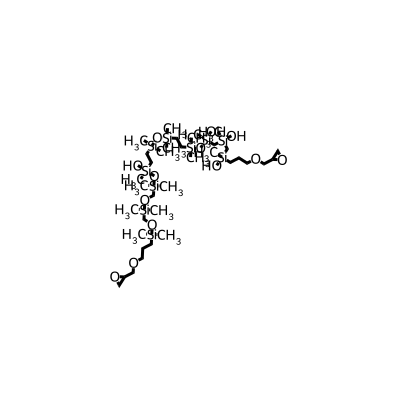 C[Si](O)(CCCOCC1CO1)C[Si](C)(O)C[Si](C)(O)O[Si](C)(C)CC[Si](C)(C)O[Si](C)(C)CC[Si](C)(O)O[Si](C)(C)CO[Si](C)(C)CO[Si](C)(C)CCCOCC1CO1